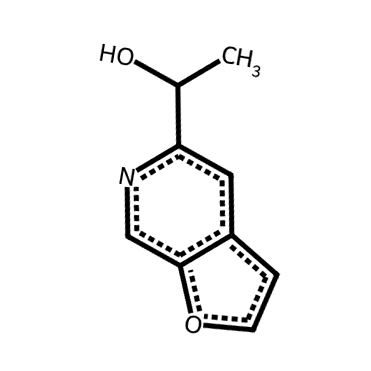 CC(O)c1cc2ccoc2cn1